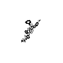 CCOc1ccc(C[C@@H](NC(=O)OCc2ccccc2)C(=O)N[C@@H](Cc2ccccc2)C(=O)NCc2ccc(CNC(=O)OC(C)(C)C)cc2)cc1